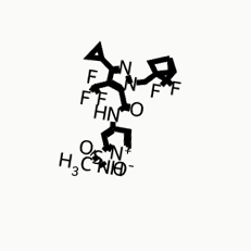 CS(=N)(=O)c1cc(NC(=O)c2c(C(F)(F)F)c(C3CC3)nn2CC23CC(CC2(F)F)C3)cc[n+]1[O-]